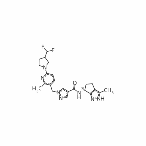 Cc1nc(N2CCC(C(F)F)C2)ccc1Cn1cc(C(=O)N[C@@H]2CCc3c2n[nH]c3C)cn1